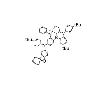 CC(C)(C)C1=CC=C(N(c2ccc3c(c2)N(c2ccccc2)C2(C)C=CC=C4C2B3c2cc(C(C)(C)C)ccc2N4c2ccc(C(C)(C)C)cc2)c2ccc3oc4ccccc4c3c2)CC1